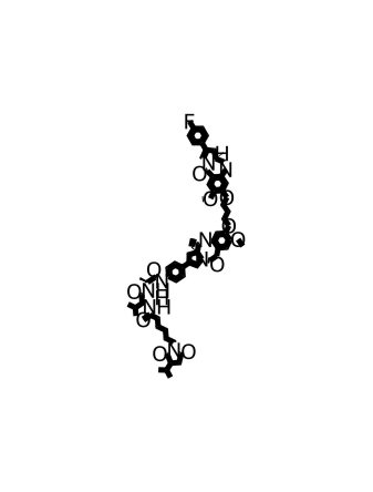 C=C[C@]12/C=N\c3cc(OCCCOc4cc5c(cc4OC)C(=O)N4C=C(c6ccc(F)cc6)C[C@H]4C=N5)c(OC)cc3C3OC3N1C=C(c1ccc(NC(=O)[C@H](C)NC(=O)[C@@H](NC(=O)CCCCCN3C(=O)CC(C(C)C)C3=O)C(C)C)cc1)C2